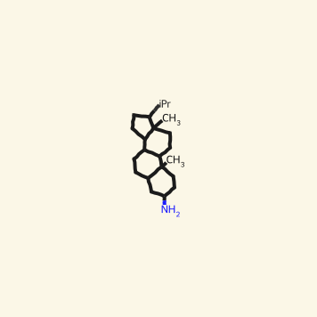 CC(C)C1CCC2C3CCC4CC(N)CCC4(C)C3CCC12C